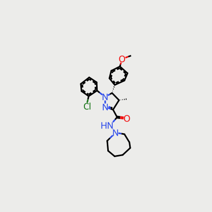 COc1ccc([C@@H]2[C@H](C)C(C(=O)NN3CCCCCCC3)=NN2c2ccccc2Cl)cc1